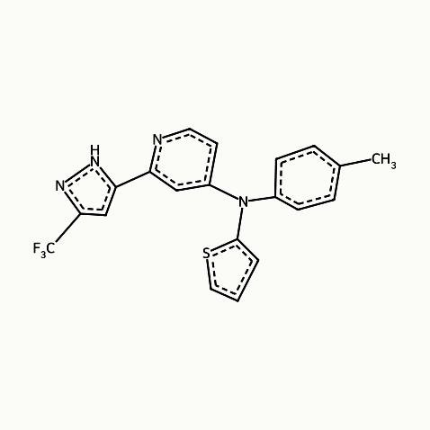 Cc1ccc(N(c2ccnc(-c3cc(C(F)(F)F)n[nH]3)c2)c2cccs2)cc1